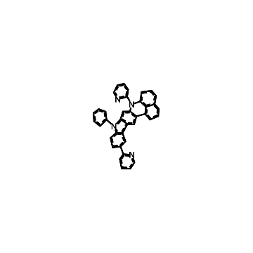 c1ccc(-n2c3ccc(-c4ccccn4)cc3c3cc4c(cc32)N(c2ccccn2)c2cccc3cccc-4c23)cc1